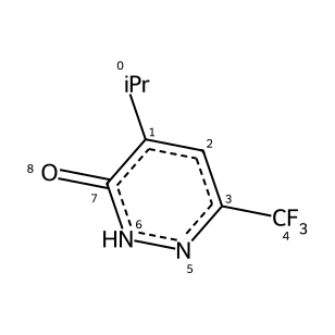 CC(C)c1cc(C(F)(F)F)n[nH]c1=O